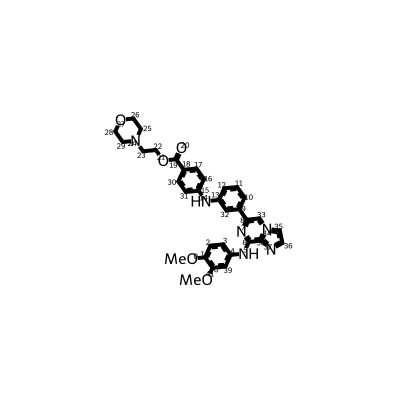 COc1ccc(Nc2nc(-c3cccc(Nc4ccc(C(=O)OCCN5CCOCC5)cc4)c3)cn3ccnc23)cc1OC